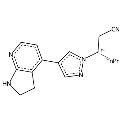 CCC[C@@H](CC#N)n1cc(-c2ccnc3c2CCN3)cn1